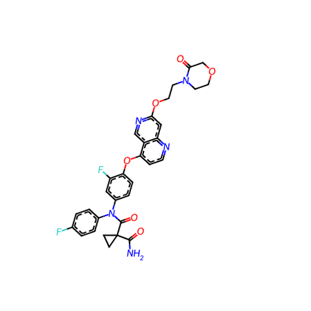 NC(=O)C1(C(=O)N(c2ccc(F)cc2)c2ccc(Oc3ccnc4cc(OCCN5CCOCC5=O)ncc34)c(F)c2)CC1